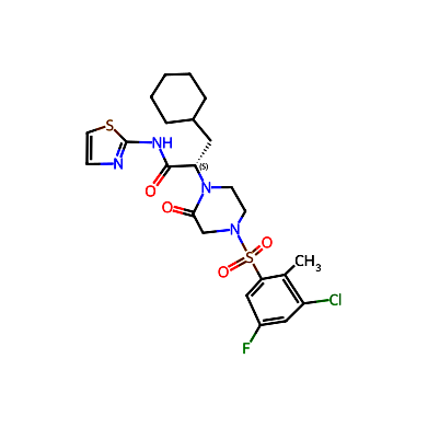 Cc1c(Cl)cc(F)cc1S(=O)(=O)N1CCN([C@@H](CC2CCCCC2)C(=O)Nc2nccs2)C(=O)C1